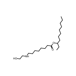 CCCCCCCCC(CC)OC(=O)CCCCCCCNCCO